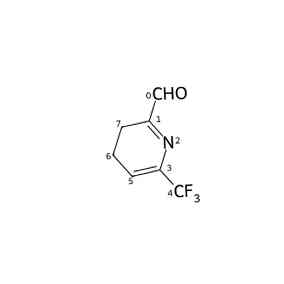 O=CC1=NC(C(F)(F)F)=CCC1